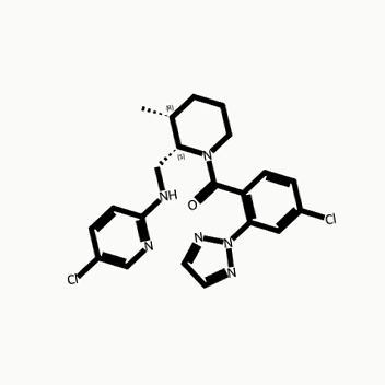 C[C@@H]1CCCN(C(=O)c2ccc(Cl)cc2-n2nccn2)[C@@H]1CNc1ccc(Cl)cn1